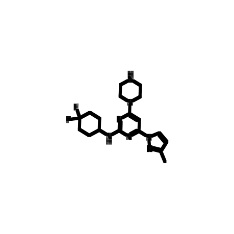 Cc1ccn(-c2cc(N3CCNCC3)nc(NC3CCC(F)(F)CC3)n2)n1